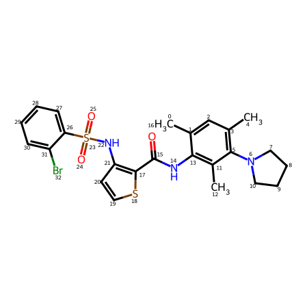 Cc1cc(C)c(N2CCCC2)c(C)c1NC(=O)c1sccc1NS(=O)(=O)c1ccccc1Br